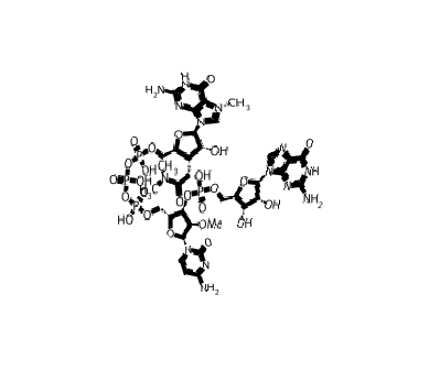 CO[C@@H]1[C@H](OP(=O)(O)OC[C@H]2O[C@@H](n3cnc4c(=O)[nH]c(N)nc43)[C@H](O)[C@@H]2O)[C@@H](COP(=O)(O)OP(=O)(O)OP(=O)(O)OC[C@H]2O[C@@H](n3c[n+](C)c4c(=O)[nH]c(N)nc43)[C@H](O)[C@@H]2CC(=O)N(C)C)O[C@H]1n1ccc(N)nc1=O